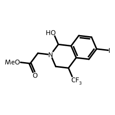 COC(=O)CN1CC(C(F)(F)F)c2cc(I)ccc2C1O